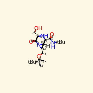 CC(C)(C)NC(=O)[C@@H]1N[C@@H](CO)C(=O)N2[C@H]1[C@H]2CO[Si](C)(C)C(C)(C)C